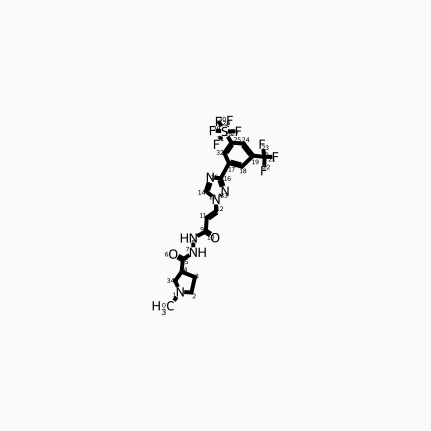 CN1CCC(C(=O)NNC(=O)C=Cn2cnc(-c3cc(C(F)(F)F)cc(S(F)(F)(F)(F)F)c3)n2)C1